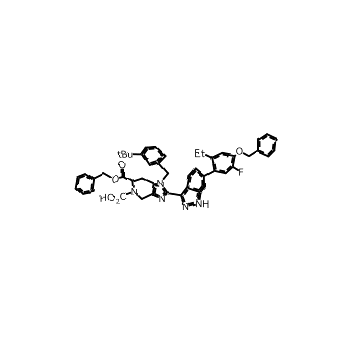 CCc1cc(OCc2ccccc2)c(F)cc1-c1ccc2c(-c3nc4c(n3Cc3cccc(C(C)(C)C)c3)CC(C(=O)OCc3ccccc3)N(C(=O)O)C4)n[nH]c2c1